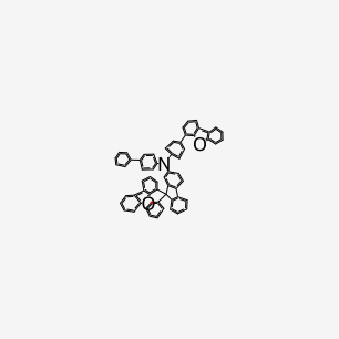 c1ccc(-c2ccc(N(c3ccc(-c4cccc5c4oc4ccccc45)cc3)c3ccc4c(c3)C(c3ccccc3)(c3cccc5c3oc3ccccc35)c3ccccc3-4)cc2)cc1